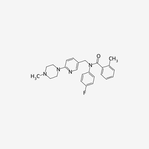 Cc1ccccc1C(=O)N(Cc1ccc(N2CCN(C)CC2)nc1)c1ccc(F)cc1